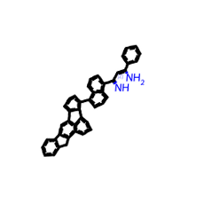 N=C(/C=C(\N)c1ccccc1)c1cccc2c(-c3cccc4c3-c3cccc5c6c(cc-4c35)-c3ccccc3C6)cccc12